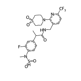 CC(C(=O)NCc1ccc(C(F)(F)F)nc1N1CCS(=O)(=O)CC1)c1ccc(N(C)[SH](=O)=O)c(F)c1